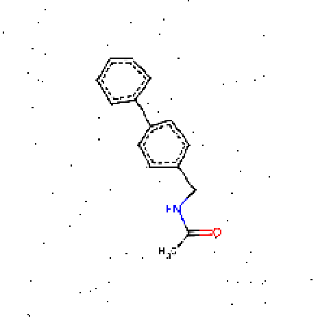 CC(=O)NCc1[c]cc(-c2ccccc2)cc1